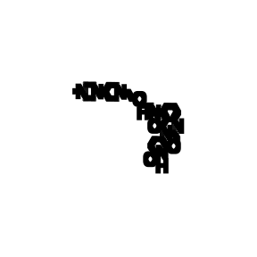 Cc1nc2cccc(NCCOCCN3CCC(N4CCN(C)CC4)CC3)c2c(=O)n1C1CCC(=O)NC1=O